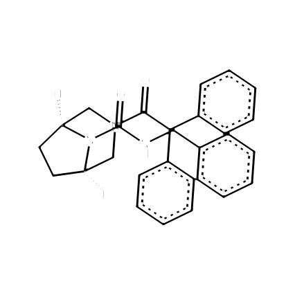 O=C(C(c1ccccc1)c1ccccc1)N1C[C@H]2CC[C@@H](C1)N2C(=O)NCc1ccccc1